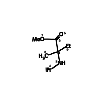 CCC(C)(NC(C)C)C(=O)OC